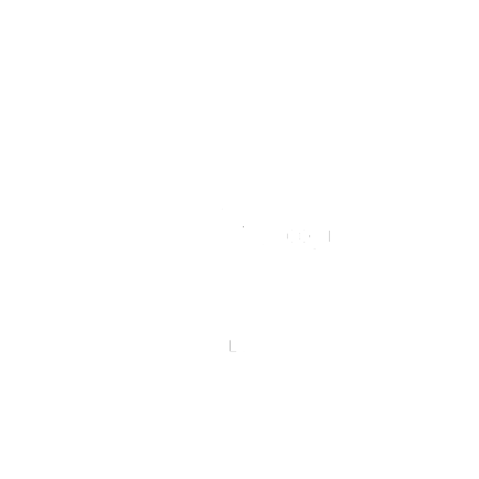 C=C(C(=O)O)C(C1CCCCCCCCC1)(C1CCCCCCCCC1)C1CCCCCCC(CC)CC1